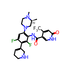 C[C@H]1CN(c2cc(F)c(C3=CCCNC3)c(F)c2NC(=O)c2c[nH]c(=O)cc2C(F)(F)F)CCN1C